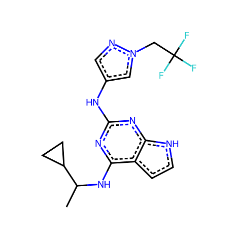 CC(Nc1nc(Nc2cnn(CC(F)(F)F)c2)nc2[nH]ccc12)C1CC1